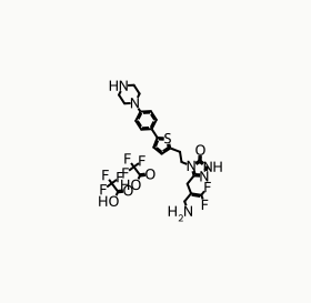 NCC(Cc1n[nH]c(=O)n1CCc1ccc(-c2ccc(N3CCNCC3)cc2)s1)=C(F)F.O=C(O)C(F)(F)F.O=C(O)C(F)(F)F